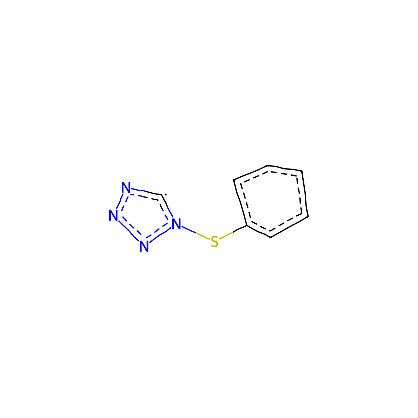 [c]1nnnn1Sc1ccccc1